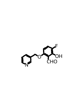 O=Cc1c(OCc2cccnc2)ccc(F)c1O